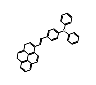 C(=Cc1ccc(N(c2ccccc2)c2ccccc2)cc1)C1=CCC2=CCc3cccc4ccc1c2c34